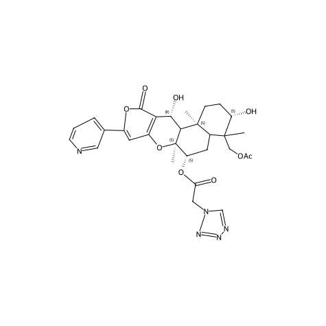 CC(=O)OCC1(C)C2C[C@H](OC(=O)Cn3cnnn3)[C@@]3(C)Oc4cc(-c5cccnc5)oc(=O)c4[C@H](O)C3[C@@]2(C)CC[C@@H]1O